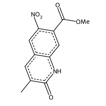 COC(=O)c1cc2[nH]c(=O)c(C)cc2cc1[N+](=O)[O-]